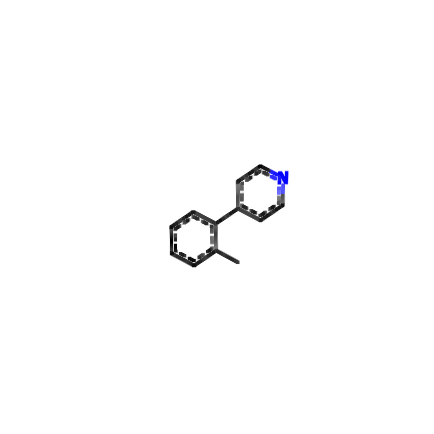 Cc1ccccc1-c1ccncc1